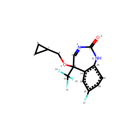 O=C1N=CC(OCC2CC2)(C(F)(F)F)c2cc(F)ccc2N1